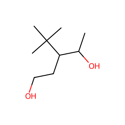 CC(O)C(CCO)C(C)(C)C